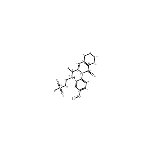 CCOc1ccc(-n2c(C(C)NCCS(C)(=O)=O)nc3c(c2=O)CCCC3)cc1